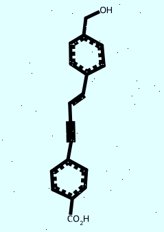 O=C(O)c1ccc(C#CC=Cc2ccc(CO)cc2)cc1